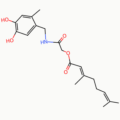 CC(C)=CCC/C(C)=C/C(=O)OCC(=O)NCc1cc(O)c(O)cc1C